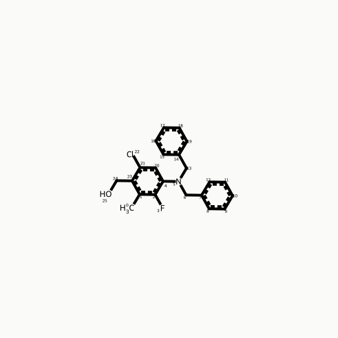 Cc1c(F)c(N(Cc2ccccc2)Cc2ccccc2)cc(Cl)c1CO